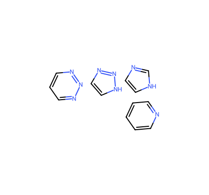 c1c[nH]cn1.c1c[nH]nn1.c1ccncc1.c1cnnnc1